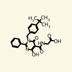 CC(C)(C)c1ccc(Cn2c(-c3ccccc3)nc(O)c(C(=O)NCC(=O)O)c2=O)cc1